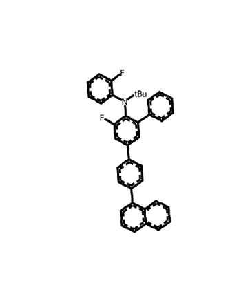 CC(C)(C)N(c1ccccc1F)c1c(F)cc(-c2ccc(-c3cccc4ccccc34)cc2)cc1-c1ccccc1